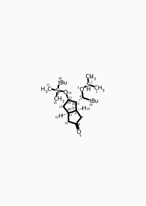 C[SiH](C)OC([C@@H]1[C@H]2CC(=O)C[C@H]2C[C@H]1O[Si](C)(C)C(C)(C)C)C(C)(C)C